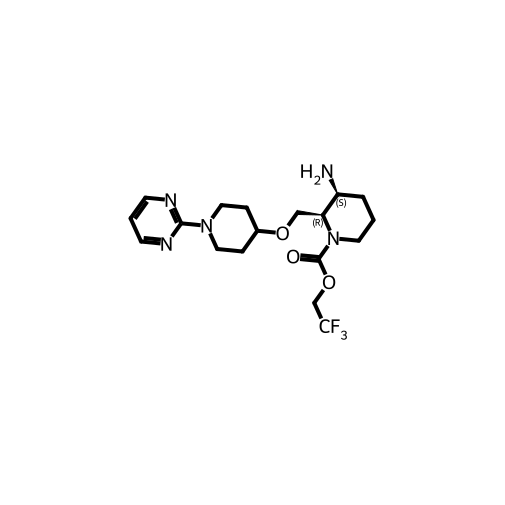 N[C@H]1CCCN(C(=O)OCC(F)(F)F)[C@H]1COC1CCN(c2ncccn2)CC1